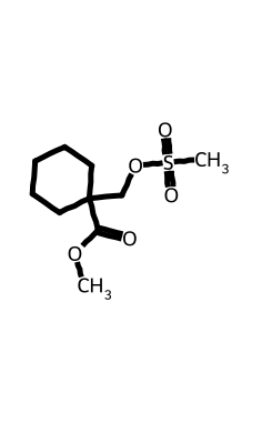 COC(=O)C1(COS(C)(=O)=O)CCCCC1